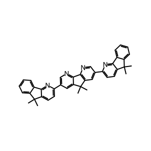 CC1(C)c2ccccc2-c2nc(-c3cnc4c(c3)C(C)(C)c3cc(-c5ccc6c(n5)-c5ccccc5C6(C)C)cnc3-4)ccc21